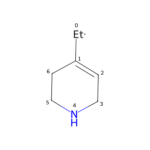 C[CH]C1=CCNCC1